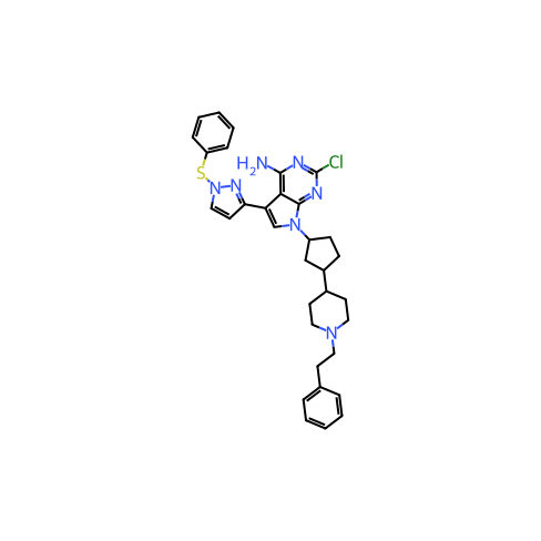 Nc1nc(Cl)nc2c1c(-c1ccn(Sc3ccccc3)n1)cn2C1CCC(C2CCN(CCc3ccccc3)CC2)C1